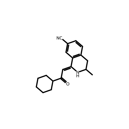 CC1Cc2ccc(C#N)cc2/C(=C/C(=O)C2CCCCC2)N1